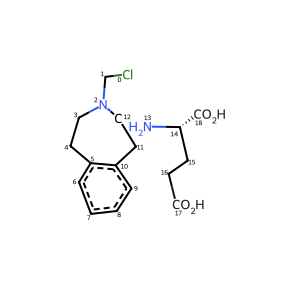 ClCN1CCc2ccccc2CC1.N[C@@H](CCC(=O)O)C(=O)O